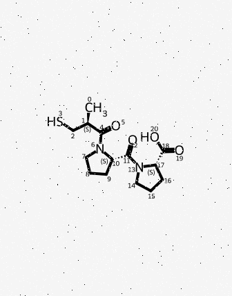 C[C@H](CS)C(=O)N1CCC[C@H]1C(=O)N1CCC[C@H]1C(=O)O